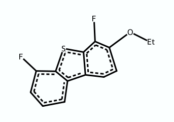 CCOc1ccc2c(sc3c(F)cccc32)c1F